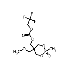 COCC1(COC(=O)OCC(F)(F)F)COP(C)(=O)OC1